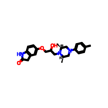 Cc1ccc(N2C[C@@H](C)N(CC(O)COc3ccc4c(c3)CC(=O)N4)[C@@H](C)C2)cc1